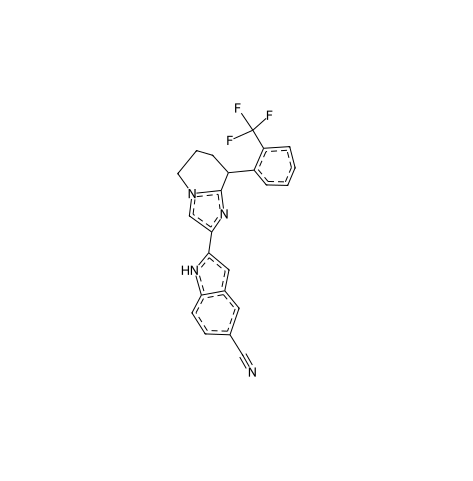 N#Cc1ccc2[nH]c(-c3cn4c(n3)C(c3ccccc3C(F)(F)F)CCC4)cc2c1